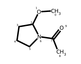 COC1CCCN1C(C)=O